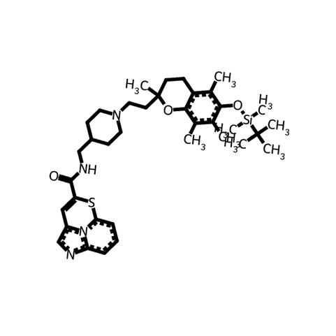 Cc1c(C)c2c(c(C)c1O[Si](C)(C)C(C)(C)C)CCC(C)(CCN1CCC(CNC(=O)C3=Cc4cnc5cccc(n45)S3)CC1)O2